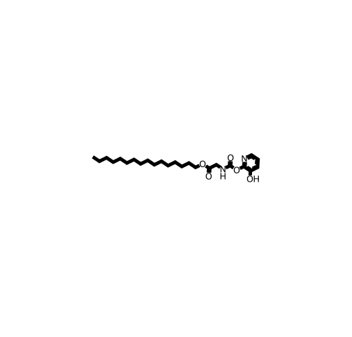 CCCCCCCCCCCCCCCCOC(=O)CNC(=O)Oc1ncccc1O